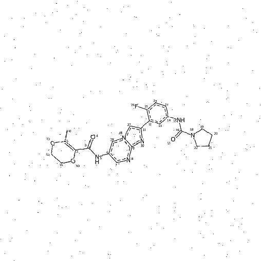 CC1=C(C(=O)Nc2cnc3nc(-c4cc(NC(=O)N5CCCC5)ccc4F)cn3c2)OCCO1